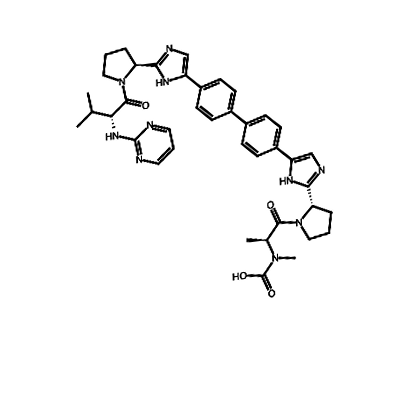 CC(C)[C@@H](Nc1ncccn1)C(=O)N1CCC[C@H]1c1ncc(-c2ccc(-c3ccc(-c4cnc([C@@H]5CCCN5C(=O)[C@H](C)N(C)C(=O)O)[nH]4)cc3)cc2)[nH]1